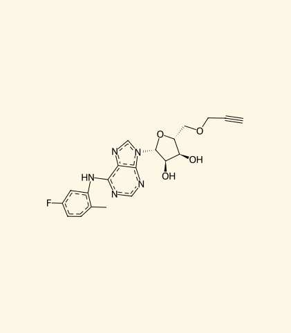 C#CCOC[C@H]1O[C@@H](n2cnc3c(Nc4cc(F)ccc4C)ncnc32)[C@H](O)[C@@H]1O